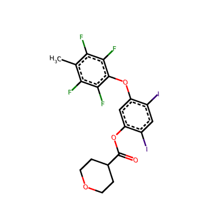 Cc1c(F)c(F)c(Oc2cc(OC(=O)C3CCOCC3)c(I)cc2I)c(F)c1F